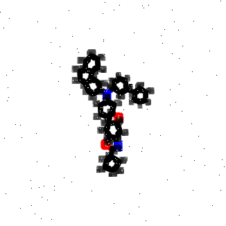 c1ccc(-c2cccc(N(c3ccc4c(c3)oc3cc5nc(-c6ccccc6)oc5cc34)c3ccc4ccc5ccccc5c4c3)c2)cc1